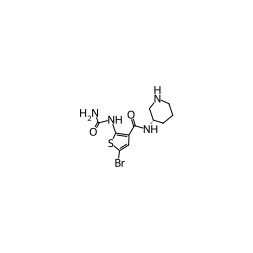 NC(=O)Nc1sc(Br)cc1C(=O)N[C@H]1CCCNC1